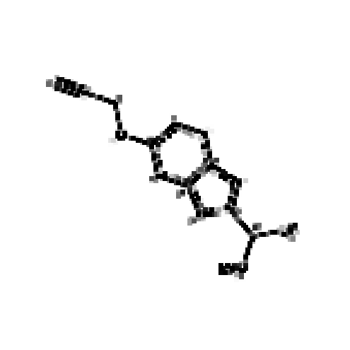 C#CCOc1ccc2cc(C(O)OC)sc2c1